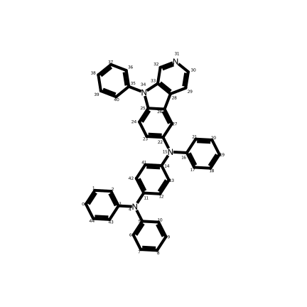 c1ccc(N(c2ccccc2)c2ccc(N(c3ccccc3)c3ccc4c(c3)c3ccncc3n4-c3ccccc3)cc2)cc1